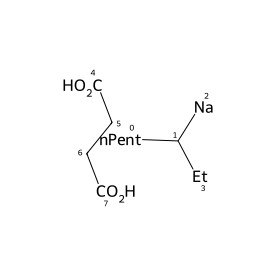 CCCCC[CH]([Na])CC.O=C(O)CCC(=O)O